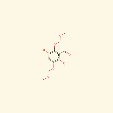 COCOc1cc(OC)c(OCOC)c(C=O)c1OC